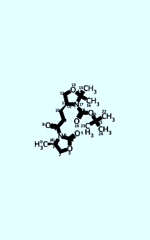 C[C@@H]1COC(=O)N1C(=O)CC[C@H]1COC(C)(C)N1C(=O)OC(C)(C)C